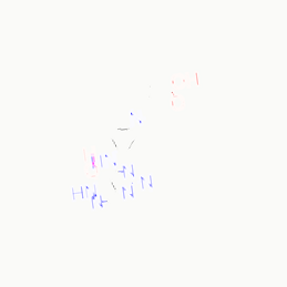 CC1CCCCN1c1nc2c(c(Nc3ccc(N4CCC5(CC4)CC5C(=O)O)cc3)n1)C(O)NN=C2